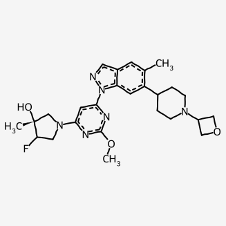 COc1nc(N2CC(F)[C@](C)(O)C2)cc(-n2ncc3cc(C)c(C4CCN(C5COC5)CC4)cc32)n1